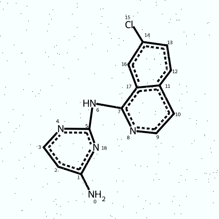 Nc1ccnc(Nc2nccc3ccc(Cl)cc23)n1